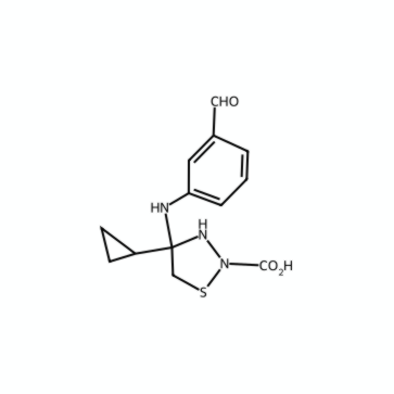 O=Cc1cccc(NC2(C3CC3)CSN(C(=O)O)N2)c1